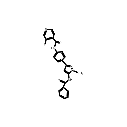 Cn1nc(-c2ccc(NC(=O)c3ccncc3Cl)cc2)cc1NC(=O)c1ccccc1